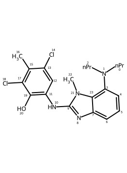 CCCN(CCC)c1cccc2nc(Nc3cc(Cl)c(C)c(Cl)c3O)n(C)c12